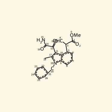 COC(=O)C(C=O)c1cccc2c1c(C(=O)C(N)=O)c(C)n2Cc1ccccc1